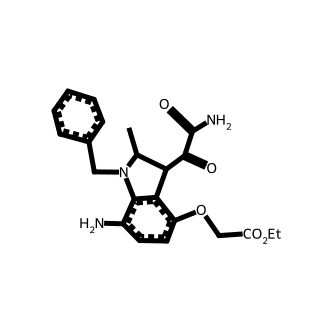 CCOC(=O)COc1ccc(N)c2c1C(C(=O)C(N)=O)C(C)N2Cc1ccccc1